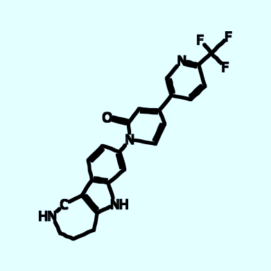 O=c1cc(-c2ccc(C(F)(F)F)nc2)ccn1-c1ccc2c3c([nH]c2c1)CCCNC3